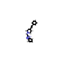 C(#Cc1ccccc1)C1=CCN(Cc2nc3ccccc3[nH]2)CC1